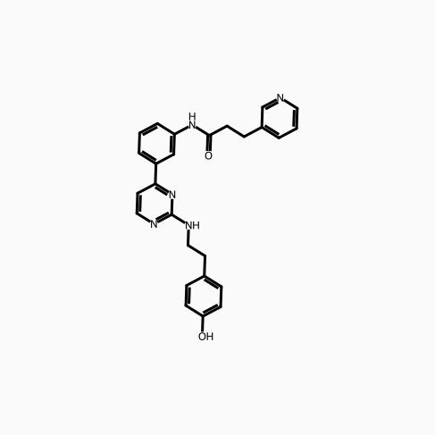 O=C(CCc1cccnc1)Nc1cccc(-c2ccnc(NCCc3ccc(O)cc3)n2)c1